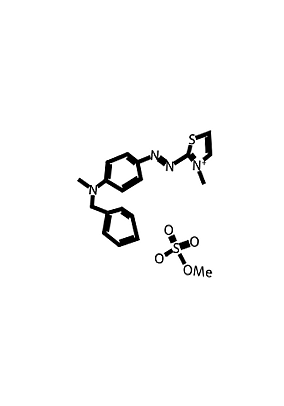 CN(Cc1ccccc1)c1ccc(N=Nc2scc[n+]2C)cc1.COS(=O)(=O)[O-]